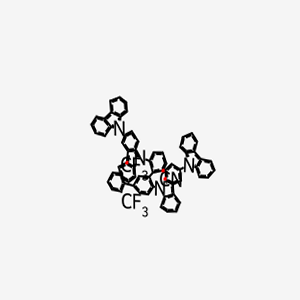 N#Cc1cccc(-n2c3ccccc3c3cc(-n4c5ccccc5c5ccccc54)ccc32)c1-c1cc(-c2c(C(F)(F)F)cccc2C(F)(F)F)ccc1-n1c2ccccc2c2cc(-n3c4ccccc4c4ccccc43)ccc21